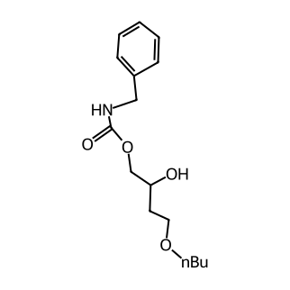 CCCCOCCC(O)COC(=O)NCc1ccccc1